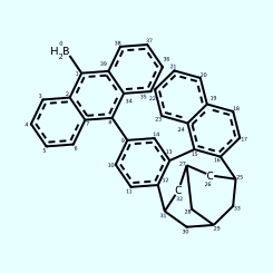 Bc1c2ccccc2c(-c2ccc3c(c2)-c2c(ccc4ccccc24)C2CC4CC(CC3C4)C2)c2ccccc12